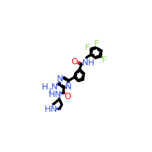 Nc1ncc(-c2cccc(C(=O)NCc3cc(F)cc(F)c3F)c2)nc1C(=O)NC1CCNC1